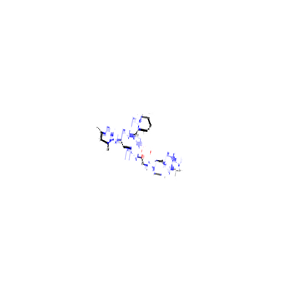 Cc1cc(C)n(-c2cc(NC(=O)CN3CCn4c(nnc4C(F)(F)F)C3)nc(-c3ccccn3)n2)n1